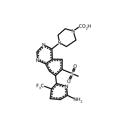 CS(=O)(=O)c1cc2c(N3CCN(C(=O)O)CC3)ncnc2cc1-c1nc(N)ccc1C(F)(F)F